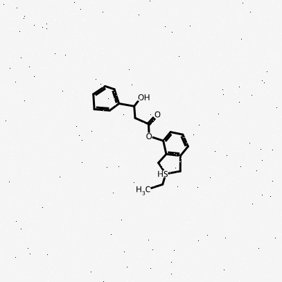 CC[SH]1Cc2cccc(OC(=O)CC(O)c3ccccc3)c2C1